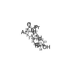 CC(=O)[C@@]12CC[C@]3(C)[C@H](CC[C@@H]4[C@@]5(C)CC[C@H](O)C(C)(C)[C@@H]5CC[C@]43C)C1=C(C(C)C)C(=O)C2